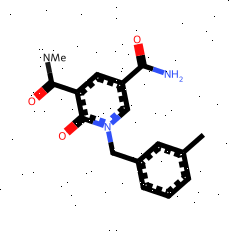 CNC(=O)c1cc(C(N)=O)cn(Cc2cccc(C)c2)c1=O